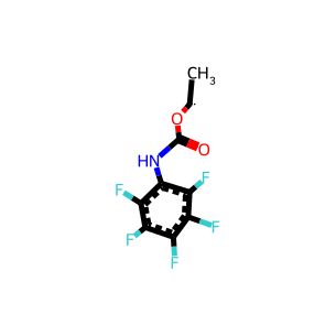 C[CH]OC(=O)Nc1c(F)c(F)c(F)c(F)c1F